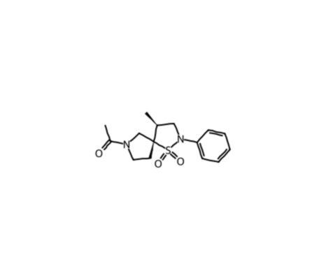 CC(=O)N1CC[C@@]2(C1)[C@@H](C)CN(c1ccccc1)S2(=O)=O